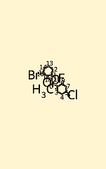 CC1(c2ccc(Cl)cc2F)Oc2cccc(Br)c2O1